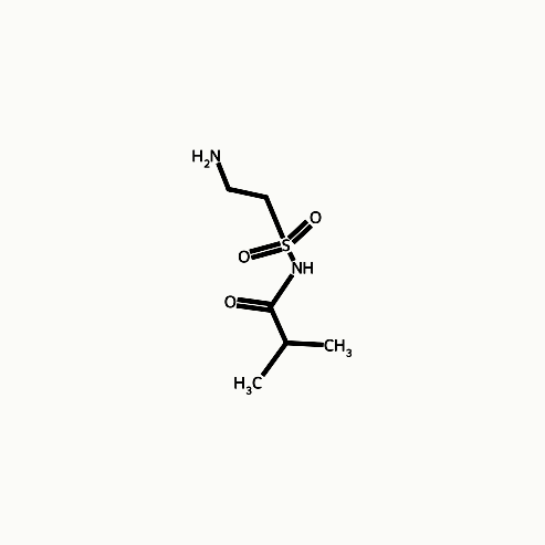 CC(C)C(=O)NS(=O)(=O)CCN